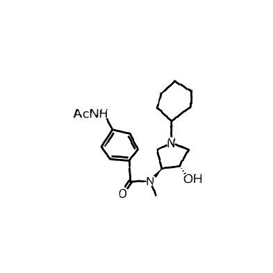 CC(=O)Nc1ccc(C(=O)N(C)[C@H]2CN(C3CCCCC3)C[C@@H]2O)cc1